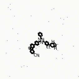 CCC1(c2ccc(-c3nc(-c4ccccc4)nc(-c4ccc(-c5ccc6oc7ccc(C#N)cc7c6c5)cc4)n3)cc2)C[C@@H]2C[C@H](C)C[C@@H](C2)C1